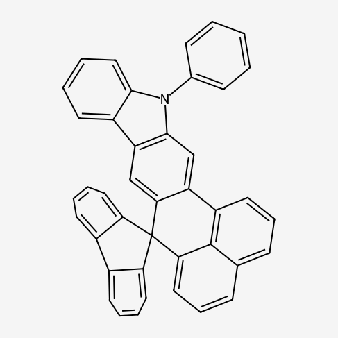 c1ccc(-n2c3ccccc3c3cc4c(cc32)-c2cccc3cccc(c23)C42c3ccccc3-c3ccccc32)cc1